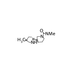 CNC(=O)N1CCC[C@@H]([C@H]2CC[C@H](C)CN2)C1